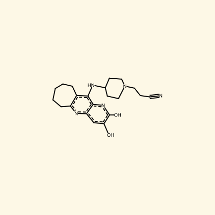 N#CCCN1CCC(Nc2c3c(nc4cc(O)c(O)nc24)CCCCC3)CC1